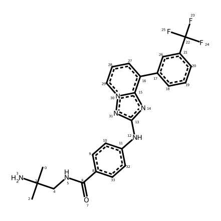 CC(C)(N)CNC(=O)c1ccc(Nc2nc3c(-c4cccc(C(F)(F)F)c4)cccn3n2)cc1